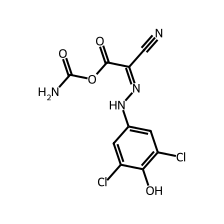 N#CC(=NNc1cc(Cl)c(O)c(Cl)c1)C(=O)OC(N)=O